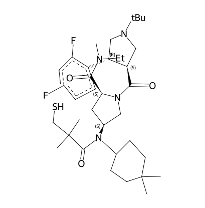 CCN(C)C(=O)[C@@H]1C[C@H](N(C(=O)C(C)(C)CS)C2CCC(C)(C)CC2)CN1C(=O)[C@@H]1CN(C(C)(C)C)C[C@H]1c1ccc(F)cc1F